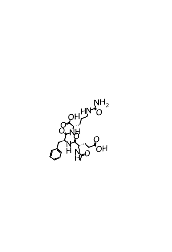 CC(=O)N[C@@H](CCC(=O)O)C(=O)N[C@@H](Cc1ccccc1)C(=O)N[C@@H](CCCNC(N)=O)C(=O)O